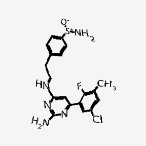 Cc1cc(Cl)cc(-c2cc(NCCc3ccc([S+](N)[O-])cc3)nc(N)n2)c1F